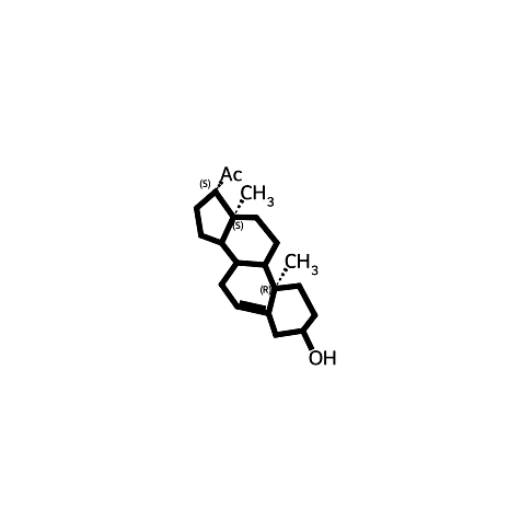 CC(=O)[C@H]1CCC2C3CC=C4CC(O)CC[C@]4(C)C3CC[C@@]21C